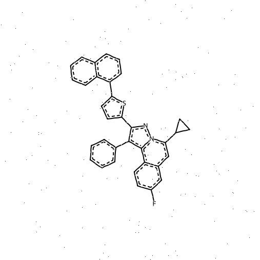 Fc1ccc2c(c1)cc(C1CC1)n1nc(-c3ccc(-c4cccc5ccccc45)s3)c(-c3ccccc3)c21